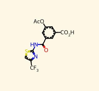 CC(=O)Oc1cc(C(=O)O)cc(C(=O)Nc2nc(C(F)(F)F)cs2)c1